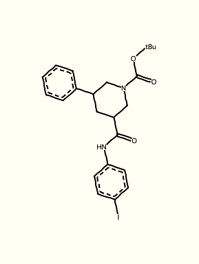 CC(C)(C)OC(=O)N1CC(C(=O)Nc2ccc(I)cc2)CC(c2ccccc2)C1